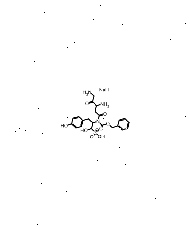 NCC(=O)C(N)CC(=O)N(C(=O)OCc1ccccc1)C(Cc1ccc(O)cc1)C(O)S(=O)(=O)O.[NaH]